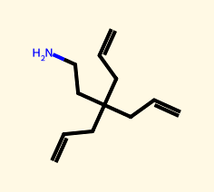 C=CCC(CC=C)(CC=C)CCN